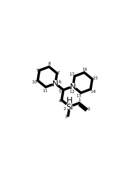 C=C[SiH](C)CC(N1CCCCC1)N1CCCCC1